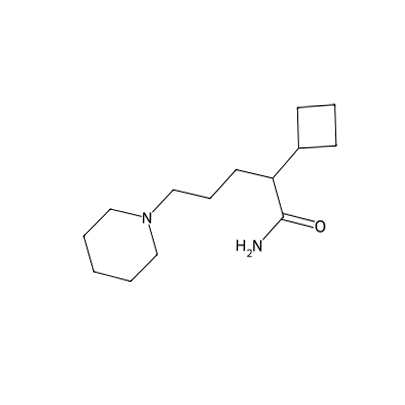 NC(=O)C(CCCN1CCCCC1)C1CCC1